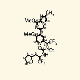 CCN(C(=O)NC(CC1CCCO1)C(F)(F)F)C(c1cc(-c2cn3cc(C)nc3c(OC)n2)c(OC)cn1)C(F)(F)F